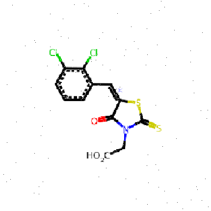 O=C(O)CN1C(=O)/C(=C\c2cccc(Cl)c2Cl)SC1=S